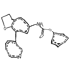 O=C(Nc1cc2c(c(-c3cccnc3)c1)OCC2)Oc1ccccc1